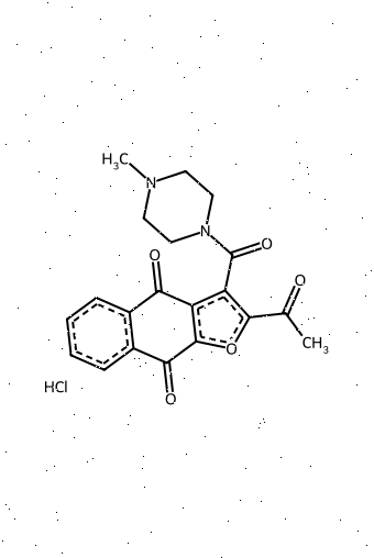 CC(=O)c1oc2c(c1C(=O)N1CCN(C)CC1)C(=O)c1ccccc1C2=O.Cl